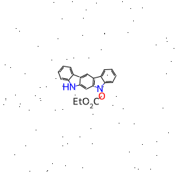 CCOC(=O)On1c2ccccc2c2cc3c(cc21)[nH]c1ccccc13